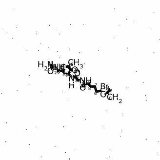 C=C(CBr)OCCCCCC(=O)NCC(=O)N[C@@H](CCCNC(N)=O)C(=O)C(C)C